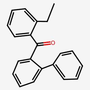 CCc1ccccc1C(=O)c1ccccc1-c1ccccc1